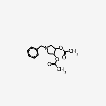 CC(=O)OC1CN(Cc2ccccc2)CC1OC(C)=O